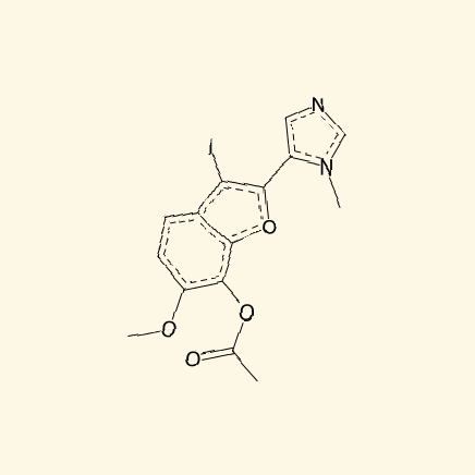 COc1ccc2c(I)c(-c3cncn3C)oc2c1OC(C)=O